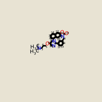 CN(C)CCCOc1cnc(-c2cccc(Cn3c(=O)oc4cc5ccccc5cc43)c2)nc1